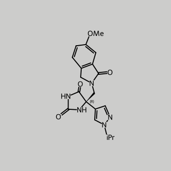 COc1ccc2c(c1)C(=O)N(C[C@@]1(c3cnn(C(C)C)c3)NC(=O)NC1=O)C2